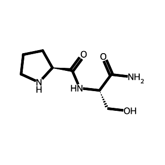 NC(=O)[C@H](CO)NC(=O)[C@@H]1CCCN1